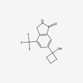 O=C1NCc2c1cc(C1(O)CCC1)cc2C(F)(F)F